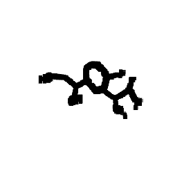 C[C@@H](c1cc(C(O)CO)ccc1F)C(F)F